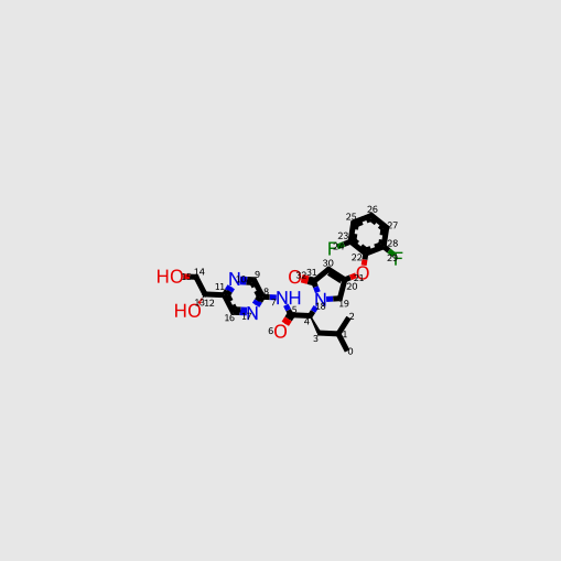 CC(C)C[C@@H](C(=O)Nc1cnc([C@H](O)CO)cn1)N1CC(Oc2c(F)cccc2F)=CC1=O